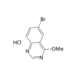 COc1ncnc2ccc(Br)cc12.Cl